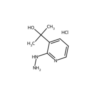 CC(C)(O)c1cccnc1NN.Cl